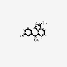 Cc1nnc2c(N(C)c3cccc(Cl)c3)nccn12